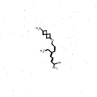 CCC(/C=C\COC1CC2(CC(N)C2)C1)=C/C=C/C(N)O